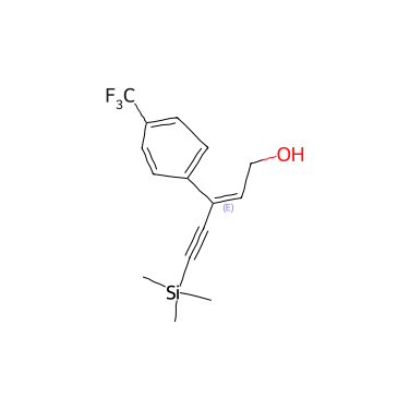 C[Si](C)(C)C#C/C(=C/CO)c1ccc(C(F)(F)F)cc1